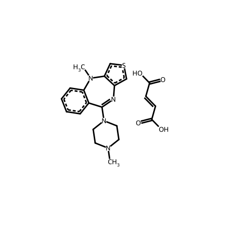 CN1CCN(C2=Nc3cscc3N(C)c3ccccc32)CC1.O=C(O)C=CC(=O)O